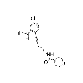 CC(C)Nc1cc(Cl)ncc1C#CCCCNC(=O)N1CCOCC1